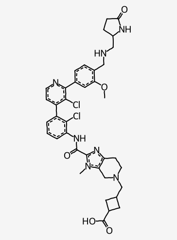 COc1cc(-c2nccc(-c3cccc(NC(=O)c4nc5c(n4C)CN(CC4CC(C(=O)O)C4)CC5)c3Cl)c2Cl)ccc1CNCC1CCC(=O)N1